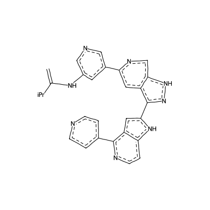 C=C(Nc1cncc(-c2cc3c(-c4cc5c(-c6ccncc6)nccc5[nH]4)n[nH]c3cn2)c1)C(C)C